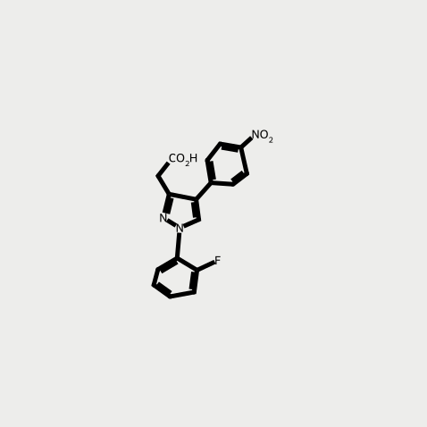 O=C(O)Cc1nn(-c2ccccc2F)cc1-c1ccc([N+](=O)[O-])cc1